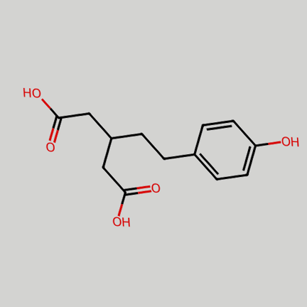 O=C(O)CC(CCc1ccc(O)cc1)CC(=O)O